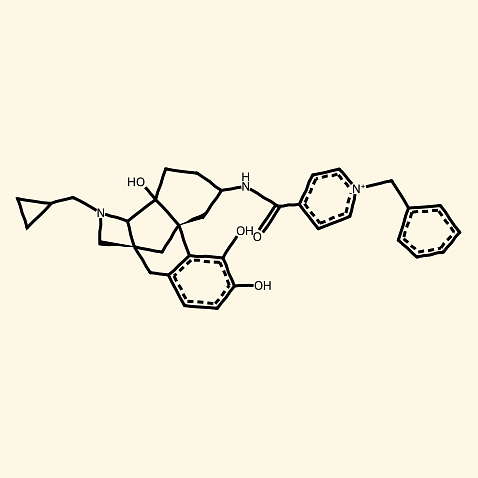 O=C(NC1CCC2(O)C3N(CC4CC4)C[C@@]34Cc3ccc(O)c(O)c3[C@]2(C1)C4)c1cc[n+](Cc2ccccc2)cc1